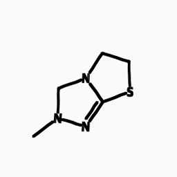 CN1CN2CCSC2=N1